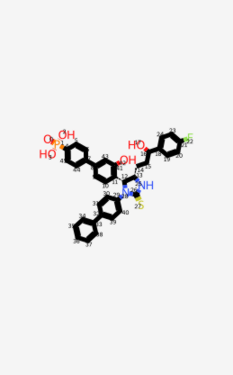 O=P(O)(O)c1ccc(-c2ccc([C@@H]3[C@H](CCC(O)c4ccc(F)cc4)NC(=S)N3c3ccc(-c4ccccc4)cc3)c(O)c2)cc1